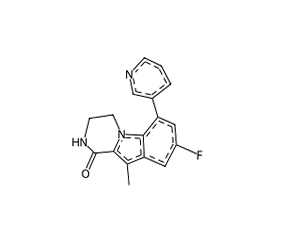 Cc1c2n(c3c(-c4cccnc4)cc(F)cc13)CCNC2=O